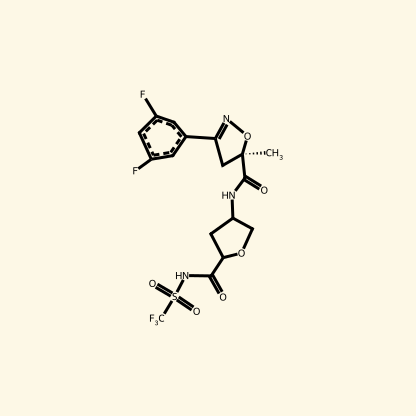 C[C@]1(C(=O)NC2COC(C(=O)NS(=O)(=O)C(F)(F)F)C2)CC(c2cc(F)cc(F)c2)=NO1